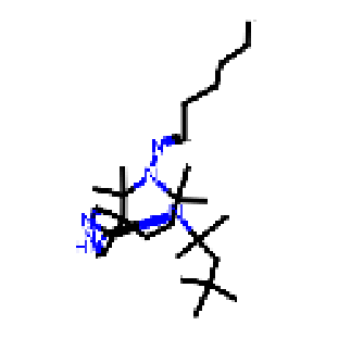 [CH2]CCCC/[C]=N/N1C(C)(C)CCC2(c3nc2[nH]c(=NC(C)(C)CC(C)(C)C)n3)C1(C)C